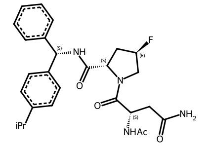 CC(=O)N[C@@H](CC(N)=O)C(=O)N1C[C@H](F)C[C@H]1C(=O)N[C@@H](c1ccccc1)c1ccc(C(C)C)cc1